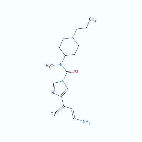 C=C(/C=C/N)c1cn(C(=O)N(C)C2CCN(CCC)CC2)cn1